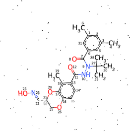 Cc1cc(C)cc(C(=O)N(NC(=O)c2ccc3c(c2C)O[C@@H](C=NO)CO3)C(C)(C)C)c1